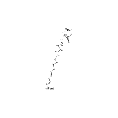 CCCCCC=CCC=CCCCCCCCCOC[C@H](CCCCCCCCCCC)N(C)C